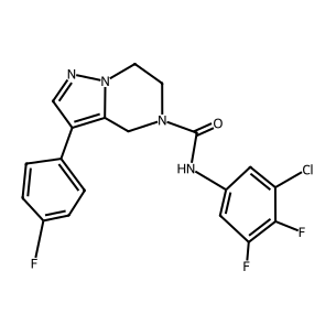 O=C(Nc1cc(F)c(F)c(Cl)c1)N1CCn2ncc(-c3ccc(F)cc3)c2C1